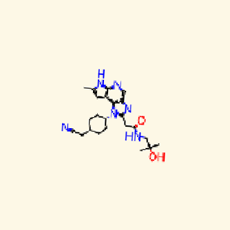 Cc1cc2c(ncc3nc(CC(=O)NCC(C)(C)O)n([C@H]4CC[C@H](CC#N)CC4)c32)[nH]1